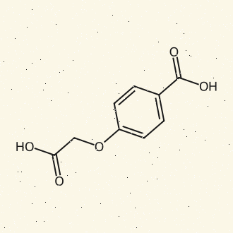 O=C(O)COc1ccc(C(=O)O)cc1